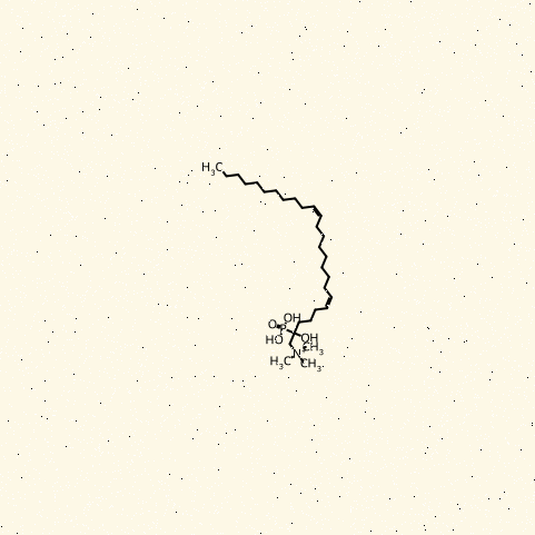 CCCCCCCCCC/C=C\CCCCCCC/C=C\CCCC(O)(C[N+](C)(C)C)P(=O)(O)O